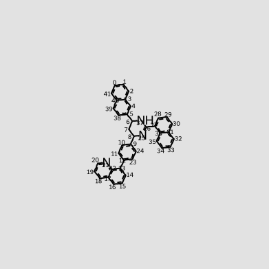 c1ccc2cc(C3CC(c4ccc(-c5cccc6cccnc56)cc4)N=C(c4cccc5ccccc45)N3)ccc2c1